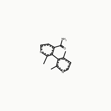 Cc1ccnc(C)c1-c1c(C(N)=O)ccnc1C